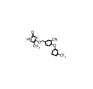 Cc1c[nH]c(=O)nc1OCc1ccc(Oc2cccc(C(F)(F)F)c2)c(C#N)c1